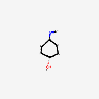 C=N[C@H]1CC[C@H](O)CC1